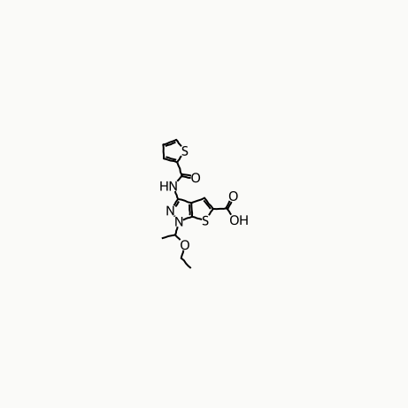 CCOC(C)n1nc(NC(=O)c2cccs2)c2cc(C(=O)O)sc21